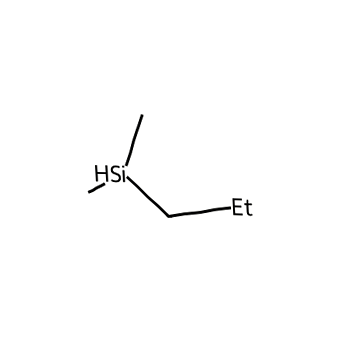 [CH2]CC[SiH](C)C